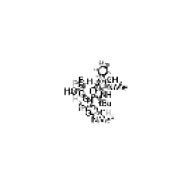 CNC(=O)C(C)=C[C@H](C(C)C)N(C)C(=O)[C@@H](NC(=O)[C@@H](NC)C(C)(C)c1ccccc1)C(C)(C)C.O=C(O)C(F)(F)F